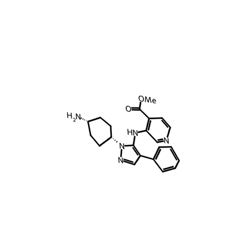 COC(=O)c1ccncc1Nc1c(-c2ccccc2)cnn1[C@H]1CC[C@@H](N)CC1